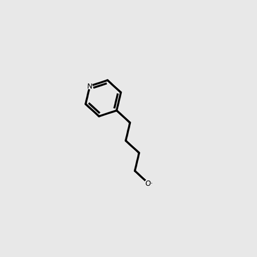 [O]CCCCc1ccncc1